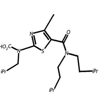 Cc1nc(N(CC(C)C)C(=O)O)sc1C(=O)N(CCC(C)C)CCC(C)C